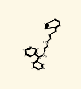 c1ccc(CCCNCCSC(c2ccccc2)c2ccccc2)cc1